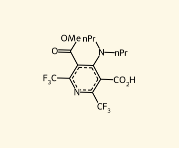 CCCN(CCC)c1c(C(=O)O)c(C(F)(F)F)nc(C(F)(F)F)c1C(=O)OC